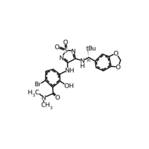 CN(C)C(=O)c1c(Br)ccc(NC2=NS(=O)(=O)N=C2N[C@@H](c2ccc3c(c2)OCO3)C(C)(C)C)c1O